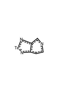 c1cc2n[te]nc2cn1